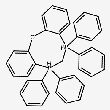 c1ccc([PH]2(c3ccccc3)C[PH](c3ccccc3)(c3ccccc3)c3ccccc3Oc3ccccc32)cc1